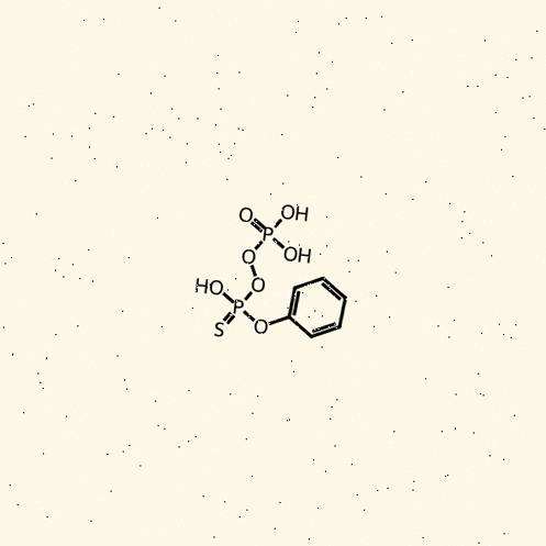 O=P(O)(O)OOP(O)(=S)Oc1ccccc1